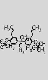 C=CCc1cc(C(C)(C)c2ccc(O[Si](C)(C)C)c(CC=C)c2)ccc1O[Si](C)(C)C